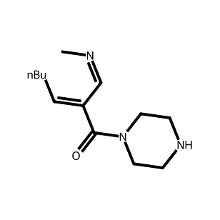 CCCC/C=C(\C=N/C)C(=O)N1CCNCC1